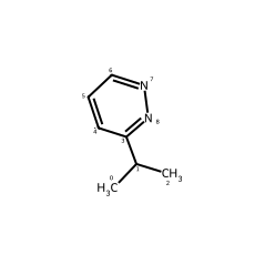 CC(C)c1[c]ccnn1